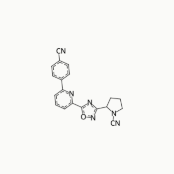 N#Cc1ccc(-c2cccc(-c3nc(C4CCCN4C#N)no3)n2)cc1